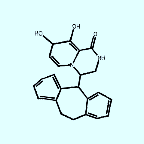 O=C1NCC(C2c3ccccc3CCc3ccccc32)N2C=CC(O)C(O)=C12